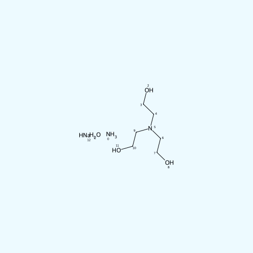 N.O.OCCN(CCO)CCO.[NaH]